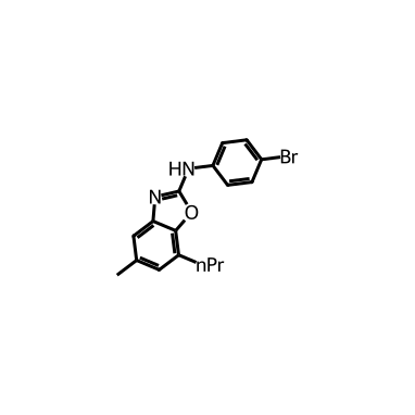 CCCc1cc(C)cc2nc(Nc3ccc(Br)cc3)oc12